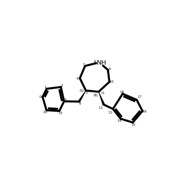 c1ccc(C[C@H]2CCNCC[C@H]2Cc2ccccc2)cc1